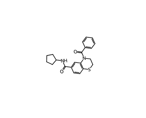 O=C(NC1CCCC1)c1ccc2c(c1)N(C(=O)c1ccccc1)CCS2